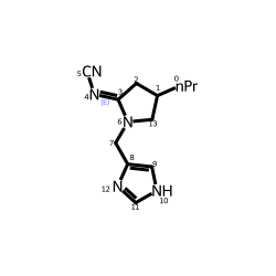 CCCC1C/C(=N\C#N)N(Cc2c[nH]cn2)C1